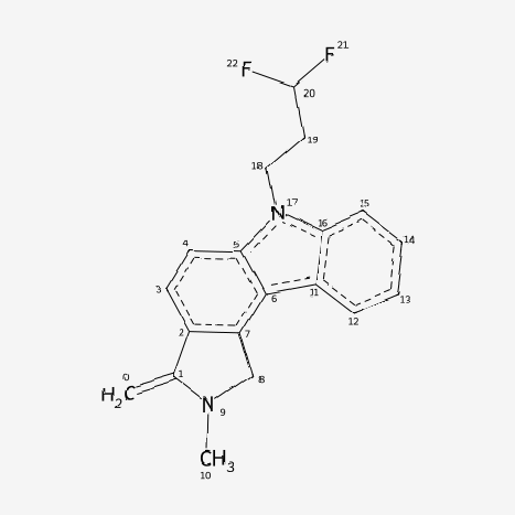 C=C1c2ccc3c(c2CN1C)c1ccccc1n3CCC(F)F